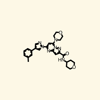 Cc1cccc(-c2cnn(-c3cc(N4CCOCC4)n4nc(C(=O)NC5CCOCC5)cc4n3)c2)c1